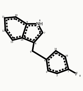 Fc1ccc(Cc2c[nH]c3ccccc23)cc1